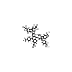 C=C(c1ccc(C(C)(C)C)cc1)c1cc2c(cc1/C(=C1/C=c3c(c4cc(C(C)(C)C)cc5c6cc(C(C)(C)C)ccc6n3c45)=CC1)c1ccc(C(C)(C)C)cc1)c1cc(C(C)(C)C)cc3c4cc(C(C)(C)C)ccc4n2c31